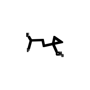 CC1(CCC(F)F)CC1